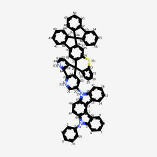 c1ccc(-n2c3ccccc3c3c4c5ccccc5n(-c5cnc6c(c5)C5(c7ccccc7Sc7cc8c(cc75)-c5ccccc5C85c7ccccc7-c7ccccc75)c5cccnc5-6)c4ccc32)cc1